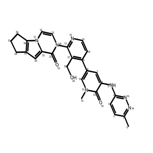 Cc1ccc(Nc2cc(-c3ccnc(-n4ccn5c6c(cc5c4=O)CCC6)c3CO)cn(C)c2=O)nn1